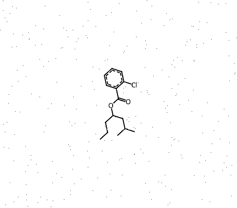 CCCC(CC(C)C)OC(=O)c1ccccc1Cl